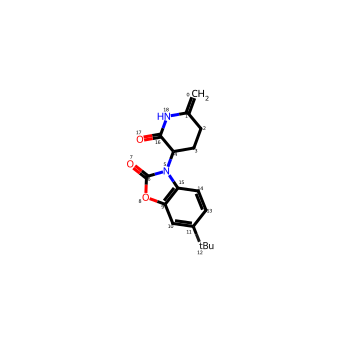 C=C1CCC(n2c(=O)oc3cc(C(C)(C)C)ccc32)C(=O)N1